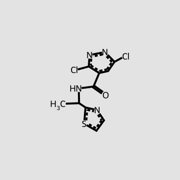 CC(NC(=O)c1cc(Cl)nnc1Cl)c1nccs1